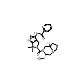 CC1(C)c2[nH]nc(NC(=O)c3ccccn3)c2CN1C(=O)N1C[C@@H]2CCCN2C[C@@H]1CO